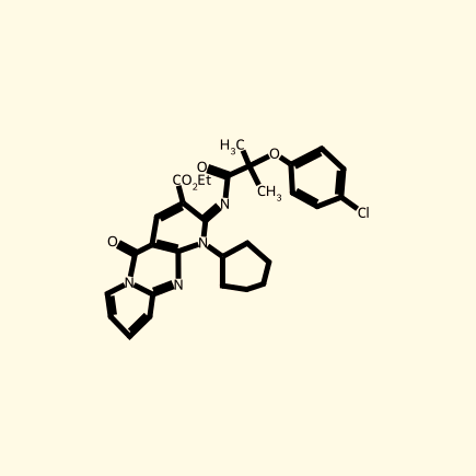 CCOC(=O)c1cc2c(=O)n3ccccc3nc2n(C2CCCCC2)/c1=N/C(=O)C(C)(C)Oc1ccc(Cl)cc1